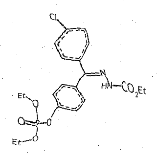 CCOC(=O)NN=C(c1ccc(Cl)cc1)c1ccc(OP(=O)(OCC)OCC)cc1